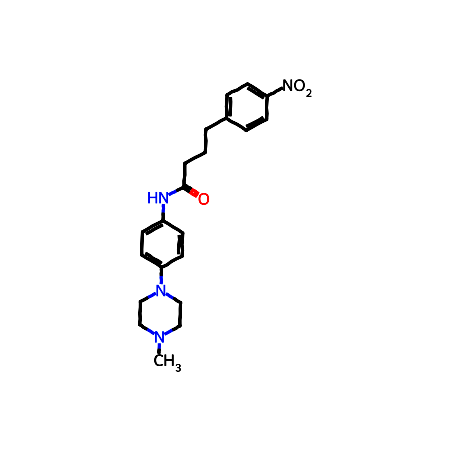 CN1CCN(c2ccc(NC(=O)CCCc3ccc([N+](=O)[O-])cc3)cc2)CC1